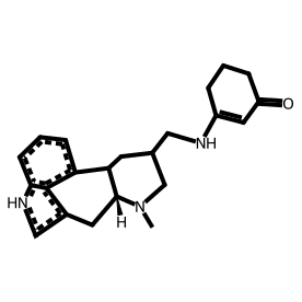 CN1CC(CNC2=CC(=O)CCC2)CC2c3cccc4[nH]cc(c34)C[C@H]21